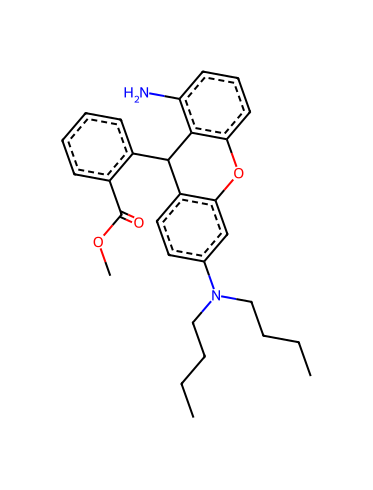 CCCCN(CCCC)c1ccc2c(c1)Oc1cccc(N)c1C2c1ccccc1C(=O)OC